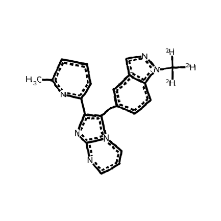 [2H]C([2H])([2H])n1ncc2cc(-c3c(-c4cccc(C)n4)nc4ncccn34)ccc21